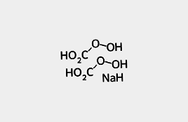 O=C(O)OO.O=C(O)OO.[NaH]